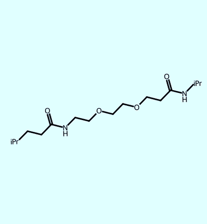 CC(C)CCC(=O)NCCOCCOCCC(=O)NC(C)C